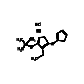 CCC1=[C]([Zr][C]2=CC=CC2)CC=C1O[Si](C)(C)C.Cl.Cl